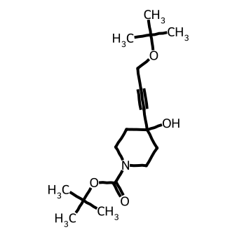 CC(C)(C)OCC#CC1(O)CCN(C(=O)OC(C)(C)C)CC1